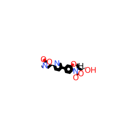 CN1C[C@H](c2ccc(-c3ccc4c(c3)OC[C@H]3[C@H](CO)OC(=O)N43)cn2)OC1=O